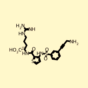 N=C(N)NCCC[C@H](NC(=O)c1sccc1NS(=O)(=O)c1cccc(C#CCN)c1)C(=O)O